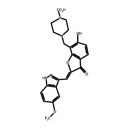 O=C1C(=Cc2n[nH]c3ccc(OC(F)(F)F)cc23)Oc2c1ccc(O)c2CN1CCN(C(=O)O)CC1